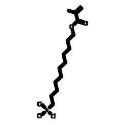 C=C(C)C(=O)OCCCCCCCCCCC[Si](Cl)(Cl)Cl